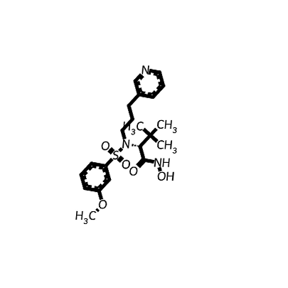 COc1cccc(S(=O)(=O)N(CCCc2cccnc2)[C@@H](C(=O)NO)C(C)(C)C)c1